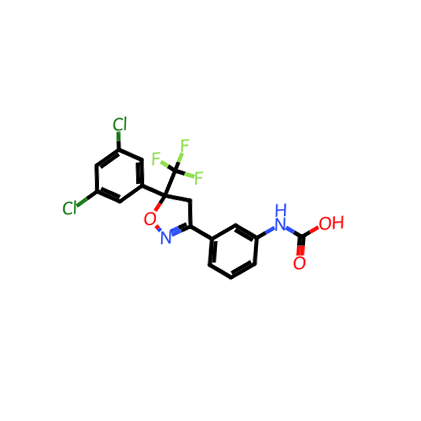 O=C(O)Nc1cccc(C2=NOC(c3cc(Cl)cc(Cl)c3)(C(F)(F)F)C2)c1